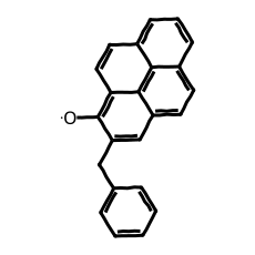 [O]c1c(Cc2ccccc2)cc2ccc3cccc4ccc1c2c34